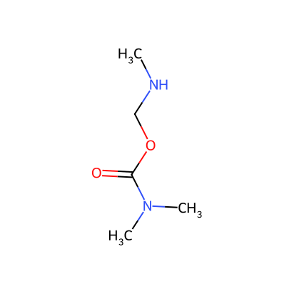 CNCOC(=O)N(C)C